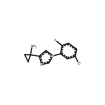 NC1(c2cn(-c3cc(Cl)ccc3F)cn2)CC1